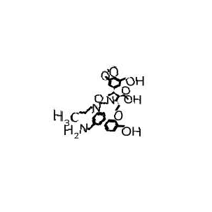 CCCCN(C(=O)CN1C[C@H](c2cc(CO)c3c(c2)OCO3)[C@@H](C(=O)O)[C@@H]1CCOc1ccccc1CO)c1cccc(CN)c1